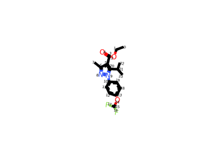 CCOC(=O)c1c(C)nn(-c2ccc(OC(F)F)cc2)c1C(C)C